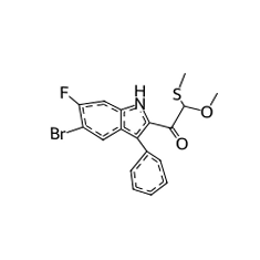 COC(SC)C(=O)c1[nH]c2cc(F)c(Br)cc2c1-c1ccccc1